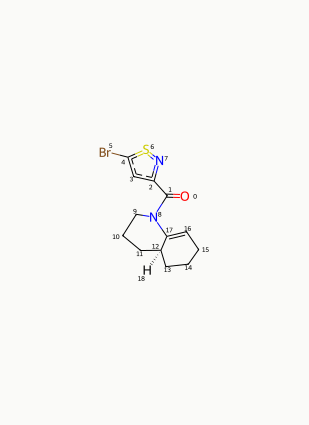 O=C(c1cc(Br)sn1)N1CCC[C@@H]2CCCC=C21